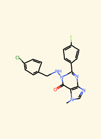 Cn1cnc2nc(-c3ccc(F)cc3)n(NCc3ccc(Cl)cc3)c(=O)c21